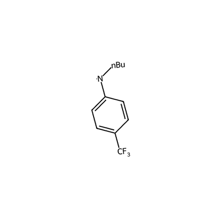 CCCC[N]c1ccc(C(F)(F)F)cc1